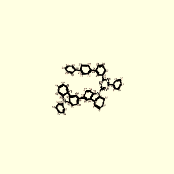 C1=Cc2c(n(-c3nc(-c4ccccc4)nc(-c4cccc(-c5ccc(-c6ccccc6)cc5)c4)n3)c3ccc(-c4ccc5c(c4)c4ccccc4n5-c4ccccc4)cc23)CC1